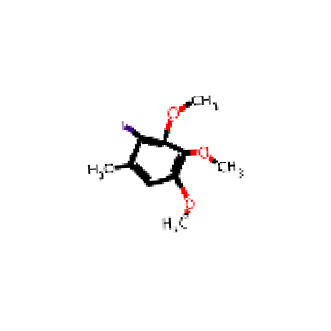 COc1cc(C)c(I)c(OC)c1OC